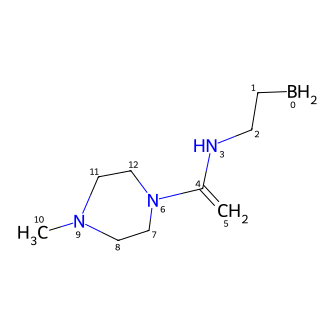 BCCNC(=C)N1CCN(C)CC1